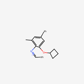 CCC/C=N\c1c(C)cc(C(C)C)cc1OC1CCC1